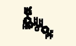 Cc1ncc(-c2cnc3c(c2)C(NC(=O)Nc2ccc(C(F)(F)F)cc2)CN3)s1